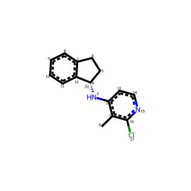 Cc1c(N[C@H]2CCc3ccccc32)ccnc1Cl